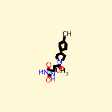 C#Cc1ccc(C2CCN(C(=O)CC3(C)NC(=O)NC3=O)CC2)cc1